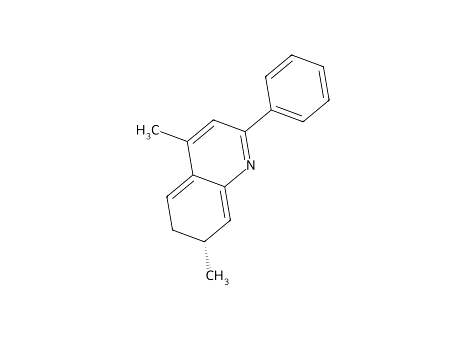 Cc1cc(-c2ccccc2)nc2c1=CC[C@@H](C)C=2